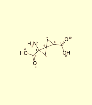 NC1(C(=O)O)CC12CC2C(=O)O